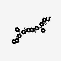 C=C/C=C\c1c(C)ccc2c1oc1cc(N(c3ccccc3)c3ccc4c(c3)sc3cc5cc6c(cc5cc34)sc3cc(N(c4ccccc4)c4ccc5c(c4)oc4c7ccccc7ccc54)ccc36)ccc12